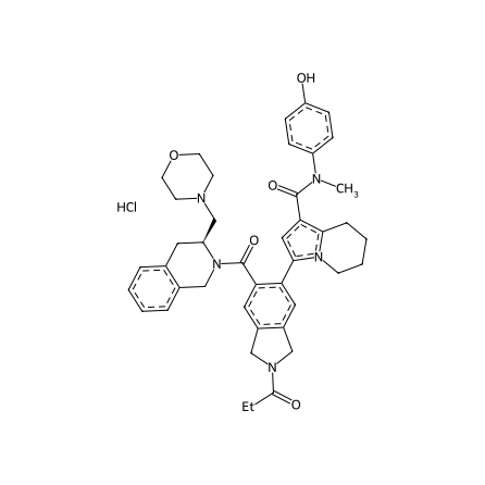 CCC(=O)N1Cc2cc(C(=O)N3Cc4ccccc4C[C@H]3CN3CCOCC3)c(-c3cc(C(=O)N(C)c4ccc(O)cc4)c4n3CCCC4)cc2C1.Cl